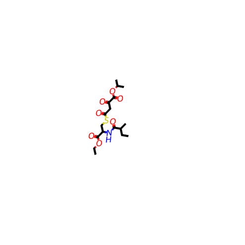 CCOC(=O)C(CSC(=O)CC(=O)C(=O)OC(C)C)NC(=O)C(C)CC